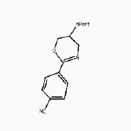 CCCCCC1CN=C(c2ccc(C#N)cc2)OC1